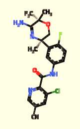 C[C@@]1(c2cc(NC(=O)c3ncc(C#N)cc3Cl)ccc2F)CO[C@@](C)(C(F)(F)F)C(N)=N1